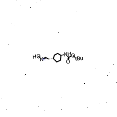 CC(C)(C)OC(=O)N[C@H]1CC[C@H](C/C=N/O)CC1